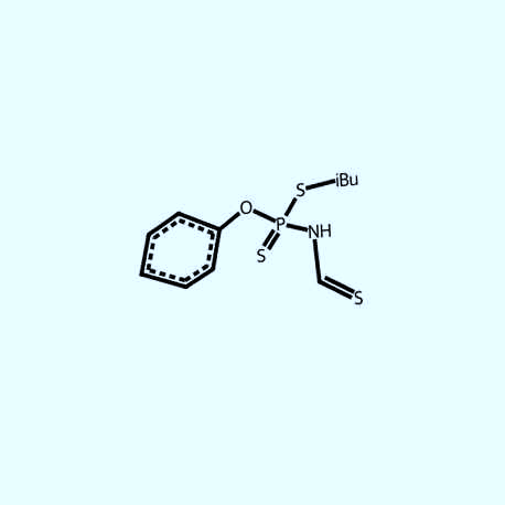 CCC(C)SP(=S)(NC=S)Oc1ccccc1